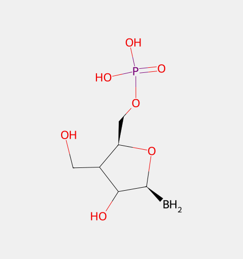 B[C@@H]1O[C@H](COP(=O)(O)O)C(CO)C1O